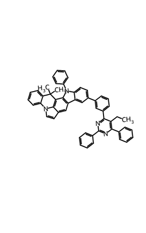 CCc1c(-c2ccccc2)nc(-c2ccccc2)nc1-c1cccc(-c2ccc3c(c2)c2cc4ccn5c4c(c2n3-c2ccccc2)C(C)(C)c2ccccc2-5)c1